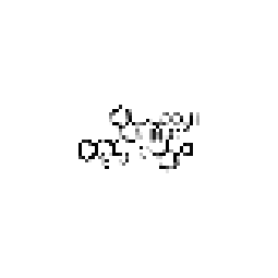 Cn1c(=O)c(-c2ccc(CC(NC(=O)c3c(Cl)cccc3Cl)C(=O)O)c3ccccc23)cc2ccccc21